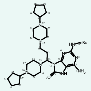 CCCCNc1nc(N)c2[nH]c(=O)n(C(CCN3CCN(C4CCCC4)CC3)N3CCN(C4CCCC4)CC3)c2n1